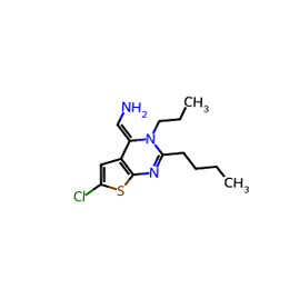 CCCCC1=Nc2sc(Cl)cc2C(=CN)N1CCC